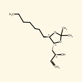 C=C[C@H](O)C[C@H]1OC(C)(C)O[C@@H]1CCCCCCC